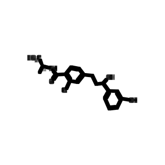 C[C@H](NC(=O)c1ccc(CCC(O)c2cccc(O)c2)cc1Cl)C(=O)O